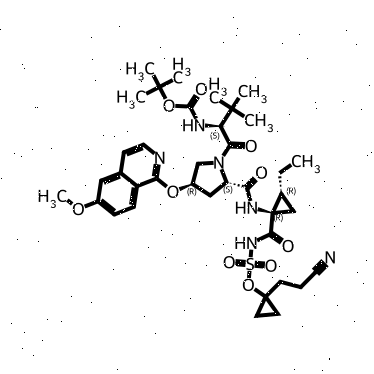 CC[C@@H]1C[C@]1(NC(=O)[C@@H]1C[C@@H](Oc2nccc3cc(OC)ccc23)CN1C(=O)[C@@H](NC(=O)OC(C)(C)C)C(C)(C)C)C(=O)NS(=O)(=O)OC1(CCC#N)CC1